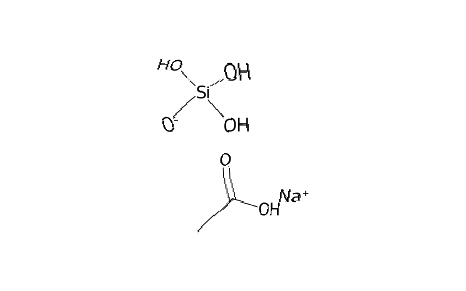 CC(=O)O.[Na+].[O-][Si](O)(O)O